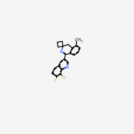 Cc1cccc2c1CC1(CCC1)N=C2c1cnc2c(F)c(F)ccc2c1